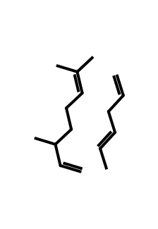 C=CC(C)CCC=C(C)C.C=CCC=CC